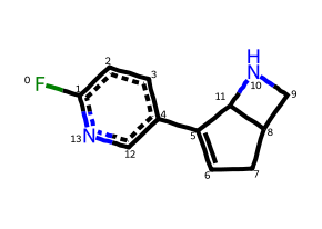 Fc1ccc(C2=CCC3CNC23)cn1